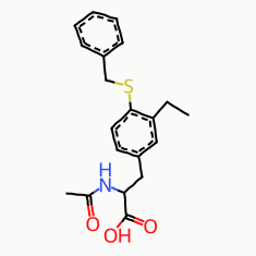 CCc1cc(CC(NC(C)=O)C(=O)O)ccc1SCc1ccccc1